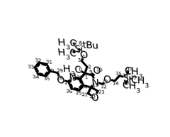 CC1(CCO[Si](C)(C)C(C)(C)C)C(=O)N(COCC[Si](C)(C)C)C2(COC2)c2ccc(OCc3ccccc3)nc21